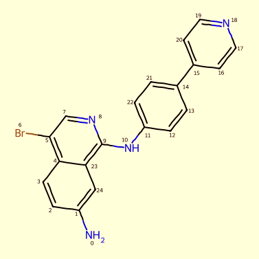 Nc1ccc2c(Br)cnc(Nc3ccc(-c4ccncc4)cc3)c2c1